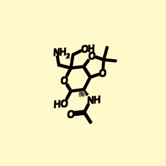 CC(=O)N[C@@H]1C(O)OC(CN)(CO)C2OC(C)(C)OC21